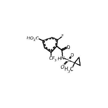 CC1(S(=O)(=O)NC(=O)c2c(F)cc(C(=O)O)cc2C(F)(F)F)CC1